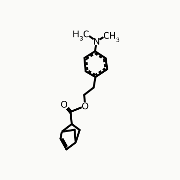 CN(C)c1ccc(CCOC(=O)C2CC3C=CC2C3)cc1